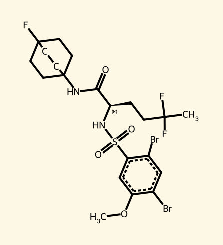 COc1cc(S(=O)(=O)N[C@H](CCC(C)(F)F)C(=O)NC23CCC(F)(CC2)CC3)c(Br)cc1Br